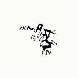 Cc1cc(C#N)ncc1-c1cc(Cl)ccc1C(=O)N(C)c1ccccc1OCCCO